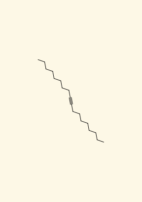 CCCCCCCCC#CCCCCCCCC